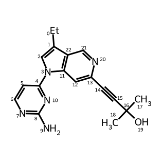 CCc1cn(-c2ccnc(N)n2)c2cc(C#CC(C)(C)O)ncc12